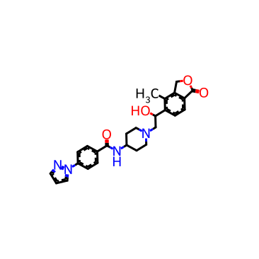 Cc1c(C(O)CN2CCC(NC(=O)c3ccc(-n4cccn4)cc3)CC2)ccc2c1COC2=O